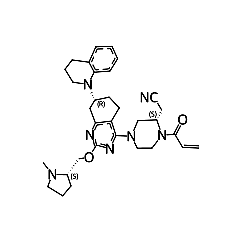 C=CC(=O)N1CCN(c2nc(OC[C@@H]3CCCN3C)nc3c2CC[C@@H](N2CCCc4ccccc42)C3)C[C@@H]1CC#N